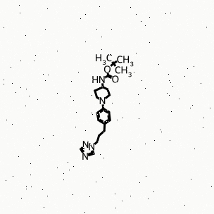 CC(C)(C)OC(=O)NC1CCN(c2ccc(CCCn3cncn3)cc2)CC1